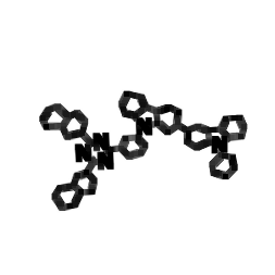 c1ccc(-n2c3ccccc3c3cc(-c4ccc5c6ccccc6n(-c6cccc(-c7nc(-c8ccc9ccccc9c8)nc(-c8ccc9ccccc9c8)n7)c6)c5c4)ccc32)cc1